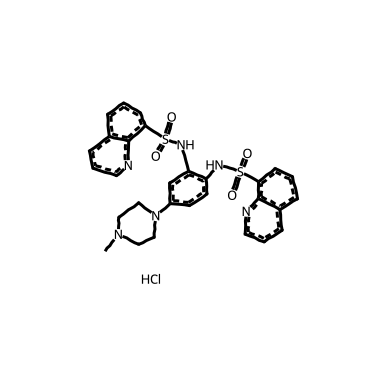 CN1CCN(c2ccc(NS(=O)(=O)c3cccc4cccnc34)c(NS(=O)(=O)c3cccc4cccnc34)c2)CC1.Cl